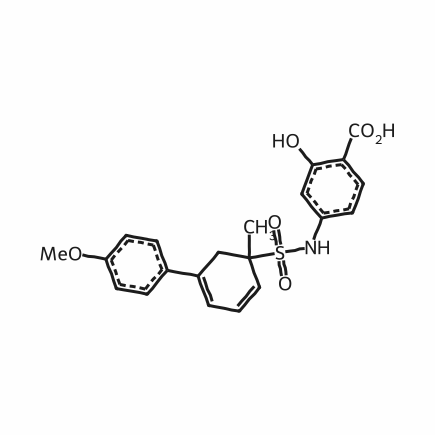 COc1ccc(C2=CC=CC(C)(S(=O)(=O)Nc3ccc(C(=O)O)c(O)c3)C2)cc1